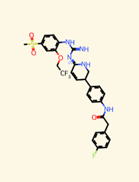 CS(=O)(=O)c1ccc(NC(=N)/N=C2/C=CC(c3ccc(NC(=O)Cc4ccc(F)cc4)cc3)CN2)c(OCC(F)(F)F)c1